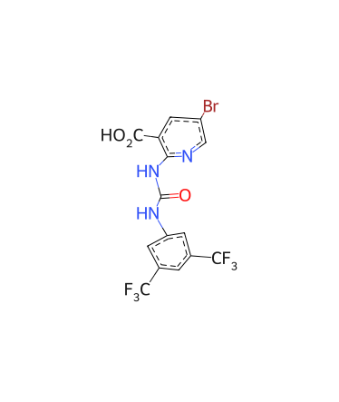 O=C(Nc1cc(C(F)(F)F)cc(C(F)(F)F)c1)Nc1ncc(Br)cc1C(=O)O